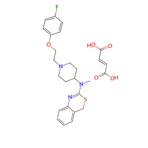 CN(C1=Nc2ccccc2CS1)C1CCN(CCOc2ccc(F)cc2)CC1.O=C(O)C=CC(=O)O